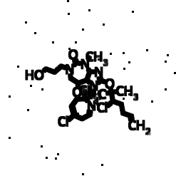 C=CCCC(Cl)C(C)(C)OC1=NC2C(C(O)CN(CCCO)C(=O)N2C)N1CC1(C)CC=C(Cl)CC=N1